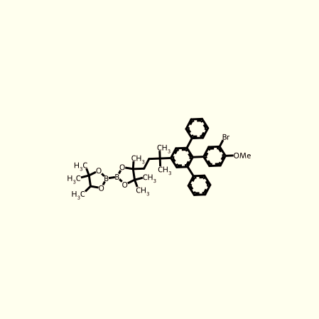 COc1ccc(-c2c(-c3ccccc3)cc(C(C)(C)CCC3(C)OB(B4OC(C)C(C)(C)O4)OC3(C)C)cc2-c2ccccc2)cc1Br